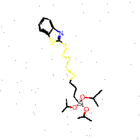 CC(C)O[Si](CCCSSSSSc1nc2ccccc2s1)(OC(C)C)OC(C)C